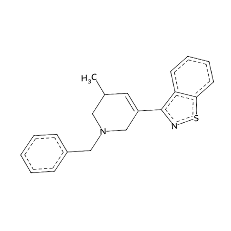 CC1C=C(c2nsc3ccccc23)CN(Cc2ccccc2)C1